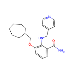 NC(=O)c1cccc(OCC2CCCCCC2)c1NCc1ccncc1